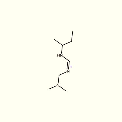 CCC(C)N/C=N\CN(C)C